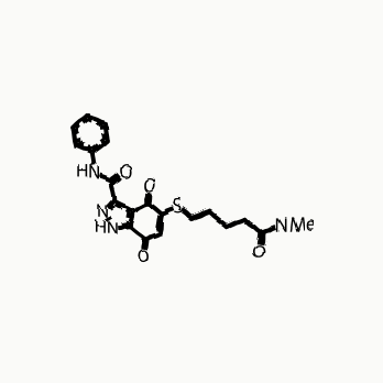 CNC(=O)CCCCSC1=CC(=O)c2[nH]nc(C(=O)Nc3ccccc3)c2C1=O